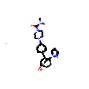 CN(C)C(=O)N1CCN(c2ccc(C3CC4(O)CCC3(n3cccn3)CC4)cc2)CC1